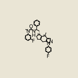 C[C@@H]1C2=C(CC[C@@H]2CC(NC(=O)N(C)c2cccc(F)c2)c2ccccc2)Cc2c1cnn2-c1ccc(F)cc1